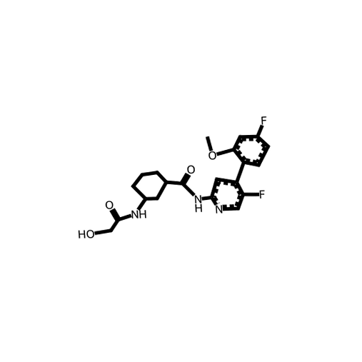 COc1cc(F)ccc1-c1cc(NC(=O)C2CCCC(NC(=O)CO)C2)ncc1F